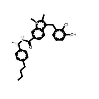 CCCCc1ccc([C@H](C)NC(=O)c2ccc3c(Cc4cccc(O)c4Cl)c(C)n(C)c3c2)cc1